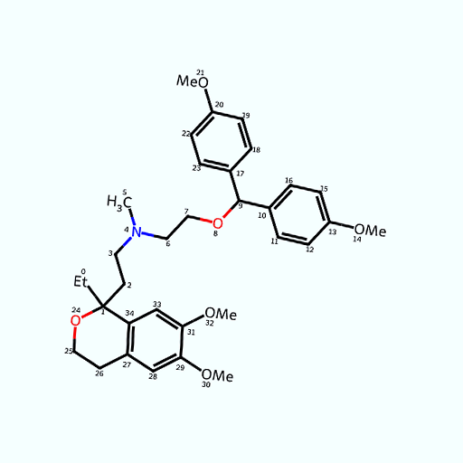 CCC1(CCN(C)CCOC(c2ccc(OC)cc2)c2ccc(OC)cc2)OCCc2cc(OC)c(OC)cc21